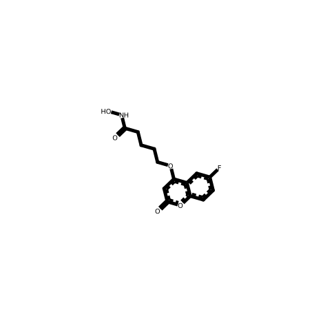 O=C(CCCCOc1cc(=O)oc2ccc(F)cc12)NO